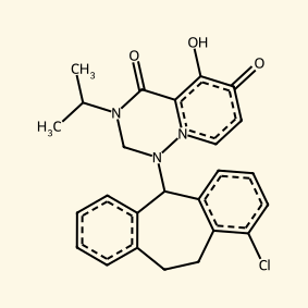 CC(C)N1CN(C2c3ccccc3CCc3c(Cl)cccc32)n2ccc(=O)c(O)c2C1=O